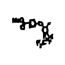 COC(=O)c1ccc(Oc2ccc(C3(C(F)(F)C(F)(F)F)CC3)cc2F)cc1